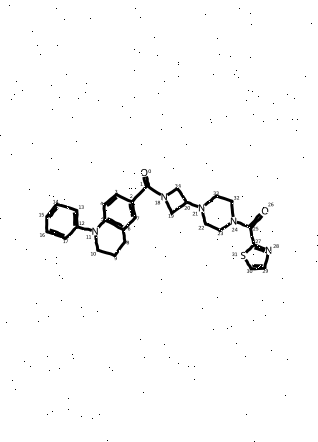 O=C(c1ccc2c(c1)CCCN2c1ccccc1)N1CC(N2CCN(C(=O)c3nccs3)CC2)C1